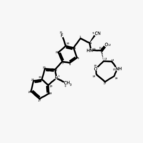 Cn1c(-c2ccc(C[C@@H](C#N)NC(=O)[C@@H]3CNCCCO3)c(F)c2)cc2ccccc21